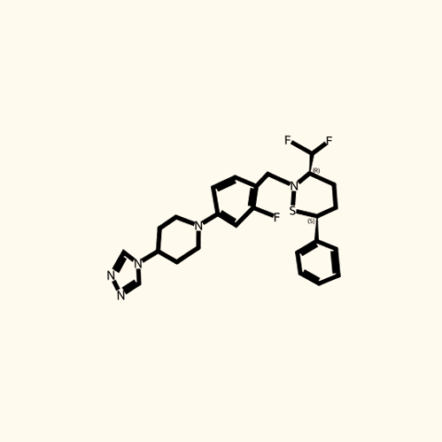 Fc1cc(N2CCC(n3cnnc3)CC2)ccc1CN1S[C@H](c2ccccc2)CC[C@@H]1C(F)F